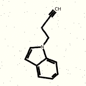 C#CCCn1ccc2ccccc21